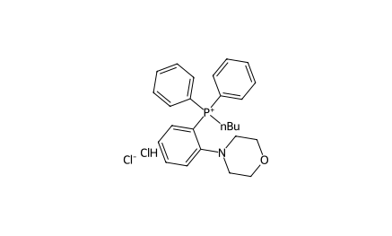 CCCC[P+](c1ccccc1)(c1ccccc1)c1ccccc1N1CCOCC1.Cl.[Cl-]